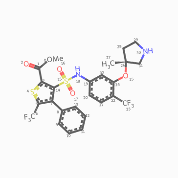 COC(=O)c1sc(C(F)(F)F)c(-c2ccccc2)c1S(=O)(=O)Nc1ccc(C(F)(F)F)c(O[C@]2(C)CCNC2)c1